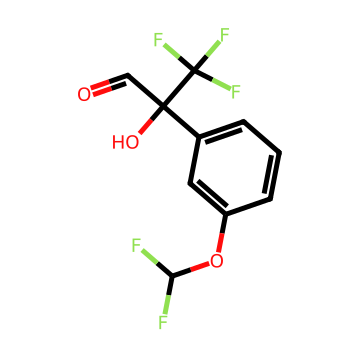 O=CC(O)(c1cccc(OC(F)F)c1)C(F)(F)F